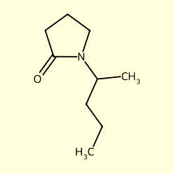 CCCC(C)N1CCCC1=O